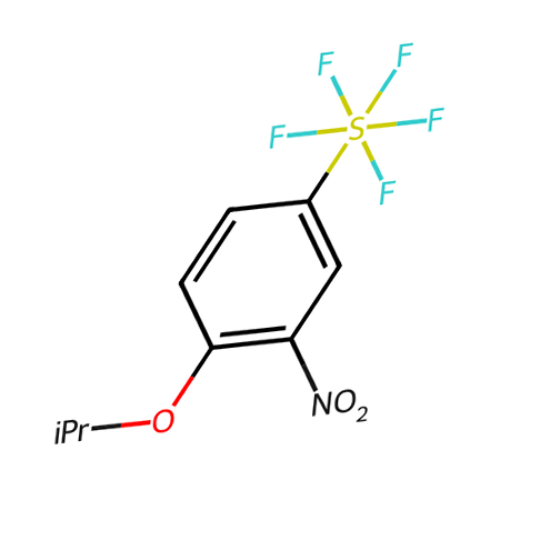 CC(C)Oc1ccc(S(F)(F)(F)(F)F)cc1[N+](=O)[O-]